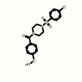 CCCOc1ccc(C(=O)N2CCN(S(=O)(=O)c3ccc(Cl)cc3)CC2)cc1